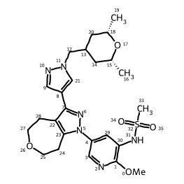 COc1ncc(-n2nc(-c3cnn(CC4C[C@@H](C)O[C@@H](C)C4)c3)c3c2CCOCC3)cc1NS(C)(=O)=O